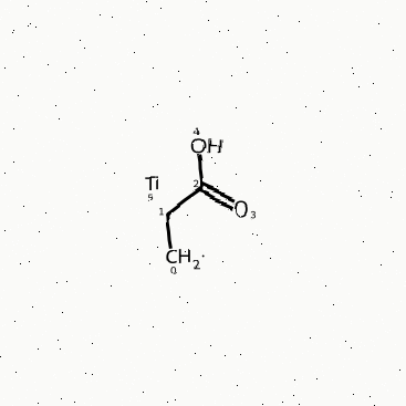 [CH2]CC(=O)O.[Ti]